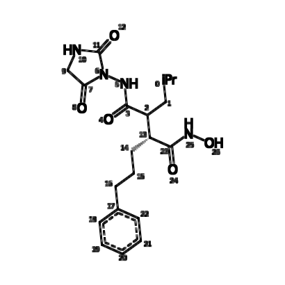 CC(C)CC(C(=O)NN1C(=O)CNC1=O)[C@@H](CCCc1ccccc1)C(=O)NO